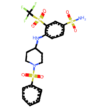 NS(=O)(=O)c1ccc(NC2CCN(S(=O)(=O)c3ccccc3)CC2)c(S(=O)(=O)C(F)(F)F)c1